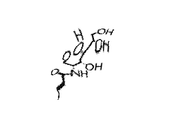 CC=CC(=O)N[C@H](C=O)[C@@H](O)[C@H](O)[C@H](O)CO